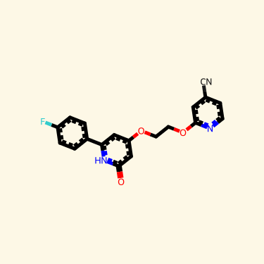 N#Cc1ccnc(OCCOc2cc(-c3ccc(F)cc3)[nH]c(=O)c2)c1